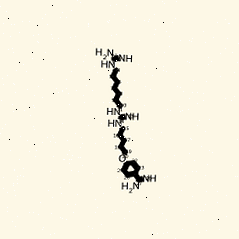 N=C(N)NCCCCCCCNC(=N)NCCCCCOc1ccc(C(=N)N)cc1